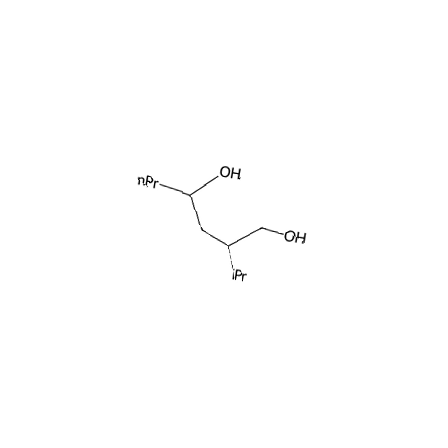 CCCC(O)CC(CO)C(C)C